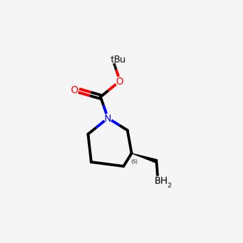 BC[C@H]1CCCN(C(=O)OC(C)(C)C)C1